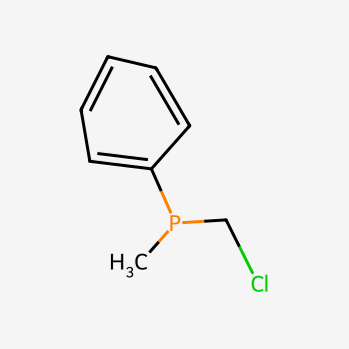 CP(CCl)c1ccccc1